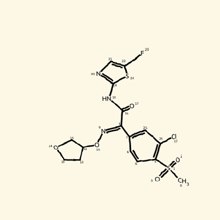 CS(=O)(=O)c1ccc(/C(=N\OC2CCOC2)C(=O)Nc2ncc(F)s2)cc1Cl